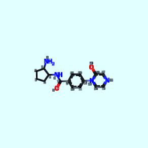 NC1CCCC1NC(=O)c1ccc(-n2ccncc2=O)cc1